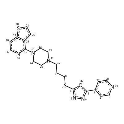 c1cc(-c2nnc(SCCCN3CCN(c4nccc5sccc45)CC3)o2)ccn1